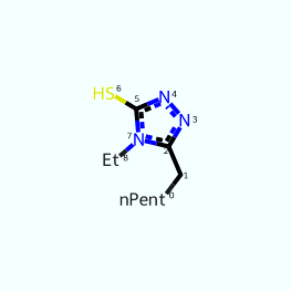 CCCCCCc1nnc(S)n1CC